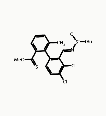 COC(=S)c1cccc(C)c1-c1ccc(Cl)c(Cl)c1/C=N/[S+]([O-])C(C)(C)C